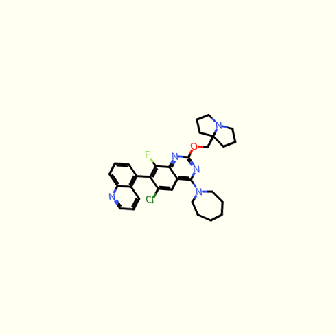 Fc1c(-c2cccc3ncccc23)c(Cl)cc2c(N3CCCCCC3)nc(OCC34CCCN3CCC4)nc12